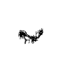 O=C1c2ccc(NCc3cccnc3)nc2CN1CCNC(=O)C(F)(F)F